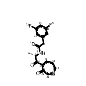 C[C@H](NC(=O)Cc1cc(F)cc(F)c1)C(=O)c1cccncc1=O